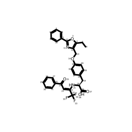 CCc1oc(-c2ccccc2)nc1COc1ccc(C[C@H](N/C(=C\C(=O)c2ccccc2)C(F)(F)F)C(=O)O)cc1